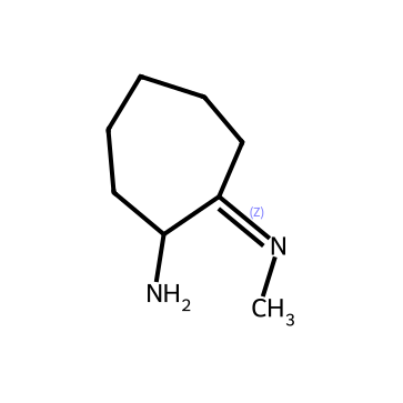 C/N=C1/CCCCCC1N